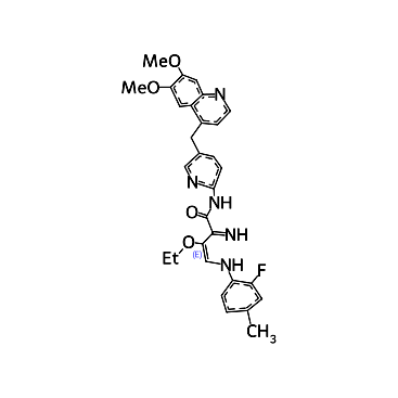 CCO/C(=C/Nc1ccc(C)cc1F)C(=N)C(=O)Nc1ccc(Cc2ccnc3cc(OC)c(OC)cc23)cn1